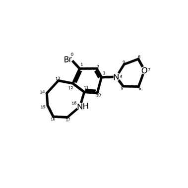 Brc1cc(N2CCOCC2)cc2c1CCCCCN2